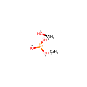 O[PH2](O)O.[CaH2].[OH][AlH2]